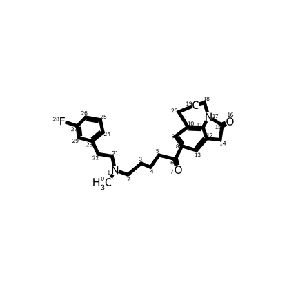 CN(CCCCC(=O)c1cc2c3c(c1)CC(=O)N3CCC2)CCc1cccc(F)c1